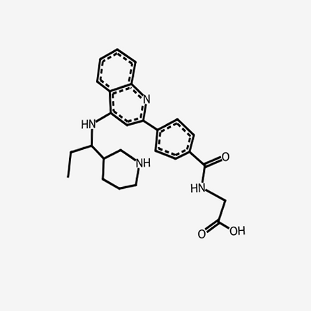 CCC(Nc1cc(-c2ccc(C(=O)NCC(=O)O)cc2)nc2ccccc12)C1CCCNC1